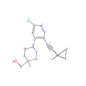 CC1(C#Cc2cnc(Cl)cc2N2CCC(C)(CO)CC2)CC1